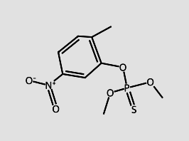 COP(=S)(OC)Oc1cc([N+](=O)[O-])ccc1C